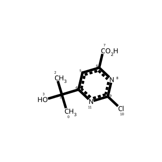 CC(C)(O)c1cc(C(=O)O)nc(Cl)n1